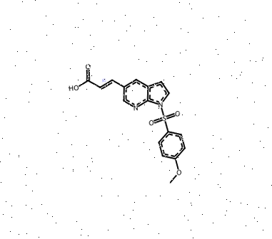 COc1ccc(S(=O)(=O)n2ccc3cc(/C=C/C(=O)O)cnc32)cc1